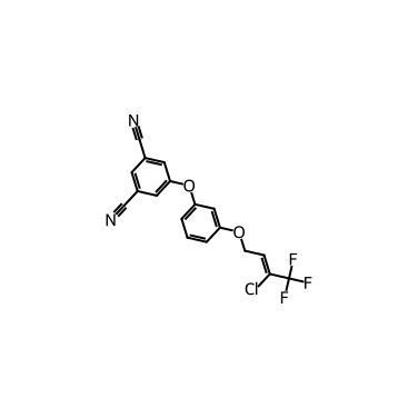 N#Cc1cc(C#N)cc(Oc2cccc(OCC=C(Cl)C(F)(F)F)c2)c1